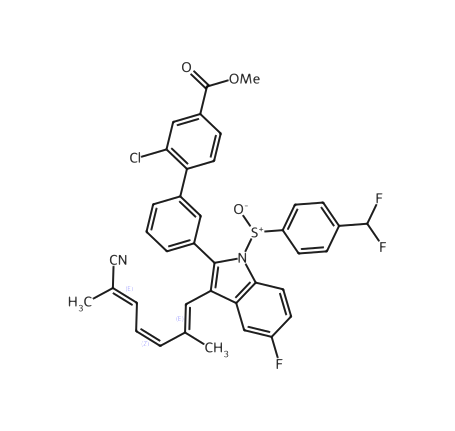 COC(=O)c1ccc(-c2cccc(-c3c(/C=C(C)/C=C\C=C(/C)C#N)c4cc(F)ccc4n3[S+]([O-])c3ccc(C(F)F)cc3)c2)c(Cl)c1